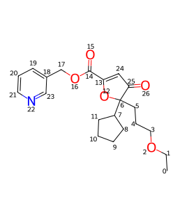 CCOCCCC1(C2CCCC2)OC(C(=O)OCc2cccnc2)=CC1=O